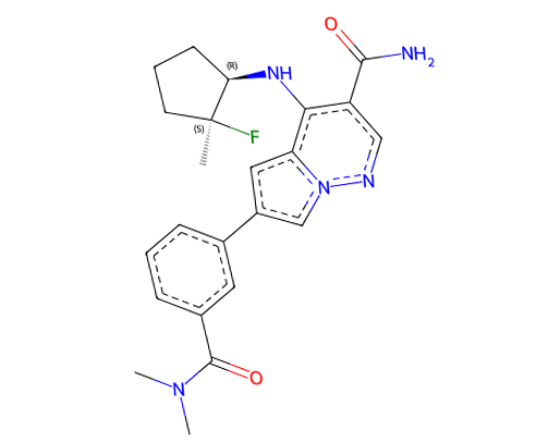 CN(C)C(=O)c1cccc(-c2cc3c(N[C@@H]4CCC[C@]4(C)F)c(C(N)=O)cnn3c2)c1